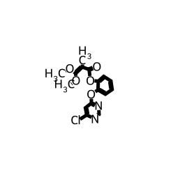 COC(OC)=C(C)C(=O)Oc1ccccc1Oc1cc(Cl)ncn1